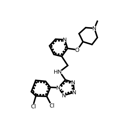 CN1CCC(Oc2ncccc2CNc2nnnn2-c2cccc(Cl)c2Cl)CC1